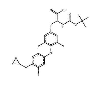 CC(C)(C)OC(=O)NC(Cc1cc(I)c(Oc2ccc(CC3CO3)c(I)c2)c(I)c1)C(=O)O